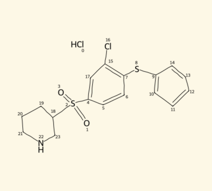 Cl.O=S(=O)(c1ccc(Sc2ccccc2)c(Cl)c1)C1CCCNC1